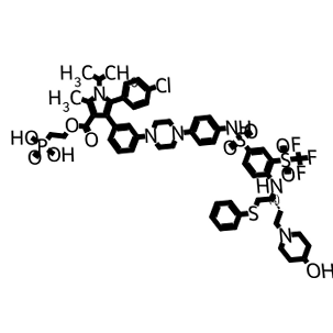 Cc1c(C(=O)OCCP(=O)(O)O)c(-c2cccc(N3CCN(c4ccc(NS(=O)(=O)c5ccc(N[C@H](CCN6CCC(O)CC6)CSc6ccccc6)c(S(=O)(=O)C(F)(F)F)c5)cc4)CC3)c2)c(-c2ccc(Cl)cc2)n1C(C)C